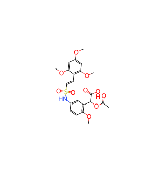 COc1cc(OC)c(C=CS(=O)(=O)Nc2ccc(OC)c(C(OC(C)=O)C(=O)O)c2)c(OC)c1